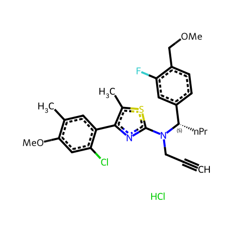 C#CCN(c1nc(-c2cc(C)c(OC)cc2Cl)c(C)s1)[C@@H](CCC)c1ccc(COC)c(F)c1.Cl